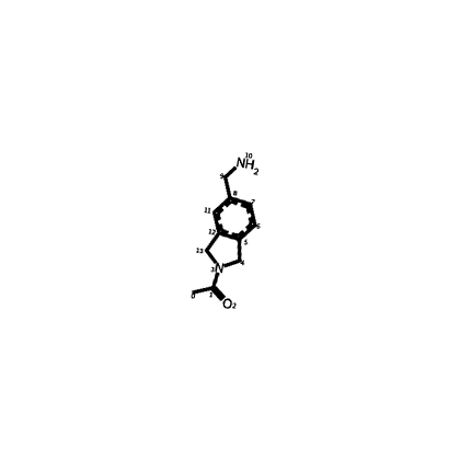 CC(=O)N1Cc2ccc(CN)cc2C1